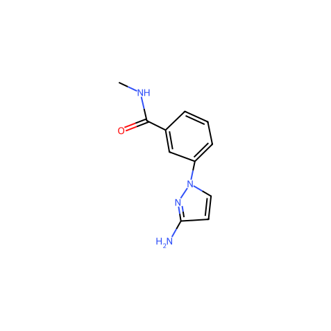 CNC(=O)c1cccc(-n2ccc(N)n2)c1